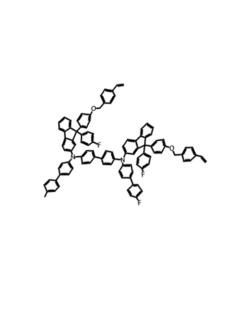 C=Cc1ccc(COc2ccc(C3(c4ccc(F)cc4)c4ccccc4-c4ccc(N(c5ccc(-c6ccc(C)cc6)cc5)c5ccc(-c6ccc(N(c7ccc(-c8ccc(F)cc8)cc7)c7ccc8c(c7)C(c7ccc(F)cc7)(c7ccc(OCc9ccc(C=C)cc9)cc7)c7ccccc7-8)cc6)cc5)cc43)cc2)cc1